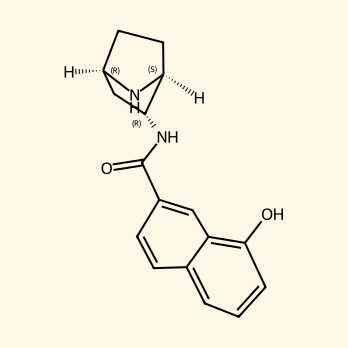 O=C(N[C@@H]1C[C@H]2CC[C@@H]1N2)c1ccc2cccc(O)c2c1